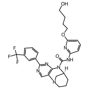 O=C(Nc1cccc(OCCCCO)n1)N1c2nc(-c3cccc(C(F)(F)F)c3)ncc2N2CCC[C@H]1C2